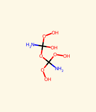 NC(O)(OO)OC(N)(OO)OO